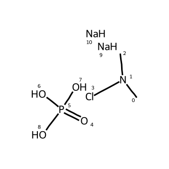 CN(C)Cl.O=P(O)(O)O.[NaH].[NaH]